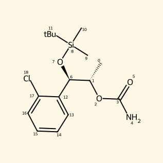 C[C@H](OC(N)=O)[C@H](O[Si](C)(C)C(C)(C)C)c1ccccc1Cl